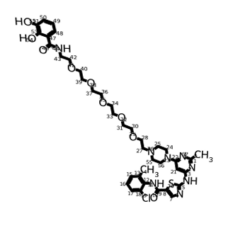 Cc1nc(Nc2ncc(C(=O)Nc3c(C)cccc3Cl)s2)cc(N2CCN(CCOCCOCCOCCOCCOCCNC(=O)c3cccc(O)c3O)CC2)n1